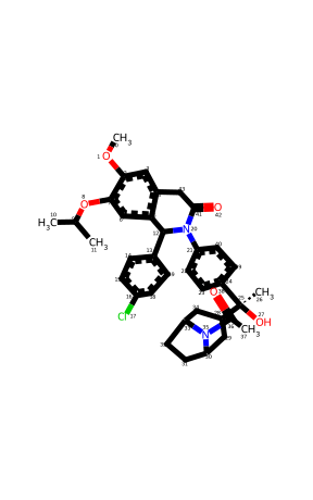 COc1cc2c(cc1OC(C)C)C(c1ccc(Cl)cc1)N(c1ccc([C@@](C)(O)C3CC4CCC(C3)N4C(C)=O)cc1)C(=O)C2